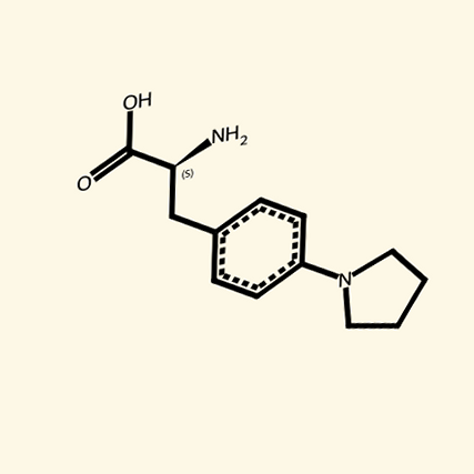 N[C@@H](Cc1ccc(N2CCCC2)cc1)C(=O)O